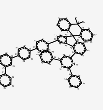 CC1(C)c2ccccc2C2(c3ccc(-c4ccc(-c5ccc(-c6cccc(-c7ccccc7)c6)cc5)cc4)cc3-c3c(-c4cc(-c5ccccc5)nc(-c5ccccc5)n4)cccc32)c2ccccc21